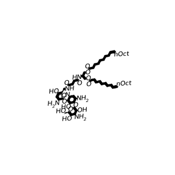 CCCCCCCC/C=C\CCCCCCCC(=O)OCC(COC(=O)CCCCCCC/C=C\CCCCCCCC)NC(=O)CCC(=O)NC[C@H]1O[C@H](O[C@H]2[C@H](O)[C@@H](O[C@H]3O[C@H](CO)[C@@H](O)[C@H](N)[C@H]3O)[C@H](N)C[C@@H]2N)[C@H](N)C[C@@H]1O